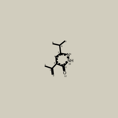 C=C(C)c1cc(C(C)C)n[nH]c1=O